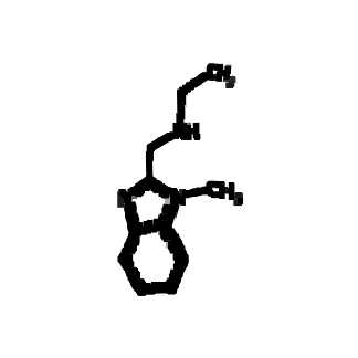 CCNCc1nc2ccccc2n1C